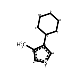 Cc1[c]s[c]c1C1CCCCC1